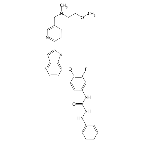 COCCN(C)Cc1ccc(-c2cc3nccc(Oc4ccc(NC(=O)NNc5ccccc5)cc4F)c3s2)nc1